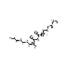 CCCCCCCN(C)C(=O)CC(=O)NCCCCCC